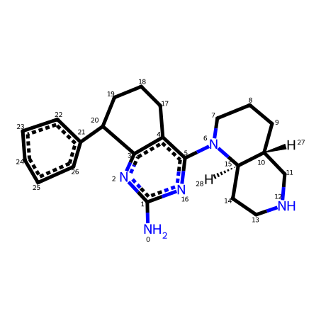 Nc1nc2c(c(N3CCC[C@@H]4CNCC[C@H]43)n1)CCCC2c1ccccc1